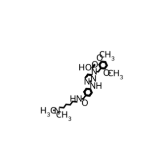 COc1ccc(OC)c(CN(C(=O)O)c2ccnc(Nc3ccc(C(=O)NCCCCCCN(C)C)cc3)n2)c1